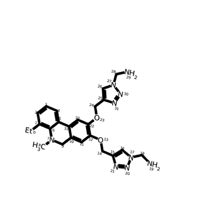 CCc1cccc2c1N(C)Cc1cc(OCc3cn(CN)nn3)c(OCc3cn(CN)nn3)cc1-2